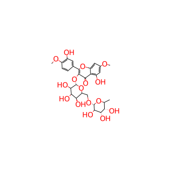 COc1cc(O)c2c(=O)c(O[C@@H]3OC(CO[C@@H]4OC(C)[C@H](O)[C@H](O)C4O)[C@@H](O)C(O)C3O)c(-c3ccc(OC)c(O)c3)oc2c1